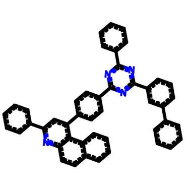 c1ccc(-c2cccc(-c3nc(-c4ccccc4)nc(-c4ccc(-c5cc(-c6ccccc6)nc6ccc7ccccc7c56)cc4)n3)c2)cc1